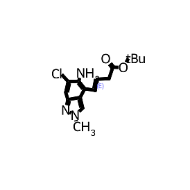 Cn1cc2c(/C=C/CC(=O)OC(C)(C)C)c(N)c(Cl)cc2n1